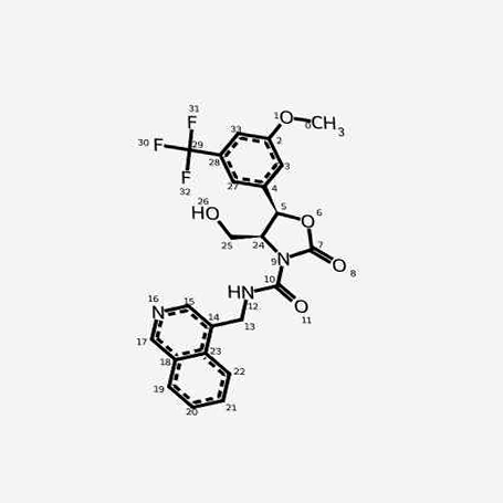 COc1cc([C@H]2OC(=O)N(C(=O)NCc3cncc4ccccc34)[C@H]2CO)cc(C(F)(F)F)c1